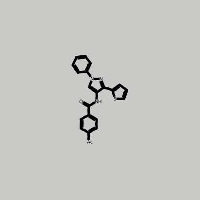 CC(=O)c1ccc(C(=O)Nc2cn(-c3ccccc3)nc2-c2cccs2)cc1